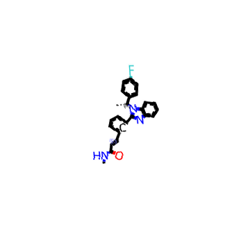 CNC(=O)/C=C/c1cccc(-c2nc3ccccc3n2[C@H](C)c2ccc(F)cc2)c1